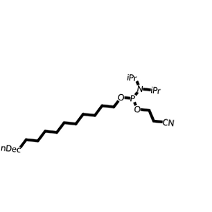 CCCCCCCCCCCCCCCCCCCCOP(OCCC#N)N(C(C)C)C(C)C